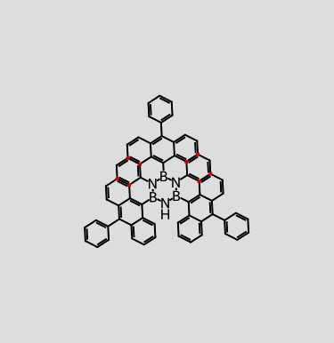 c1ccc(-c2c3ccccc3c(B3NB(c4c5ccccc5c(-c5ccccc5)c5ccccc45)N(c4ccccc4)B(c4c5ccccc5c(-c5ccccc5)c5ccccc45)N3c3ccccc3)c3ccccc23)cc1